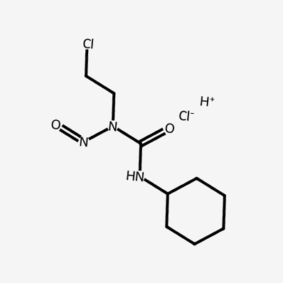 O=NN(CCCl)C(=O)NC1CCCCC1.[Cl-].[H+]